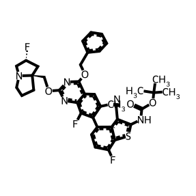 Cc1cc2c(OCc3ccccc3)nc(OC[C@@]34CCCN3C[C@H](F)C4)nc2c(F)c1-c1ccc(F)c2sc(NC(=O)OC(C)(C)C)c(C#N)c12